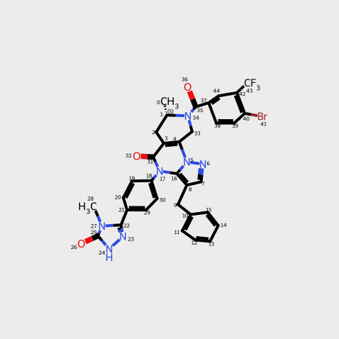 C[C@H]1Cc2c(n3ncc(Cc4ccccc4)c3n(-c3ccc(-c4n[nH]c(=O)n4C)cc3)c2=O)CN1C(=O)c1ccc(Br)c(C(F)(F)F)c1